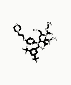 CCOC(=O)N1c2c(c(C)nn2C)C(N(Cc2cc(C(F)(F)F)cc(C(F)(F)F)c2)c2ncc(OCCN3CCOCC3)cn2)CC1CC